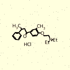 CCN(CC)CCOc1ccc(C(=O)CC(C)c2ccccc2)cc1C.Cl